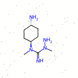 CN(N)C(=N)N(C)[C@H]1CC[C@H](N)CC1